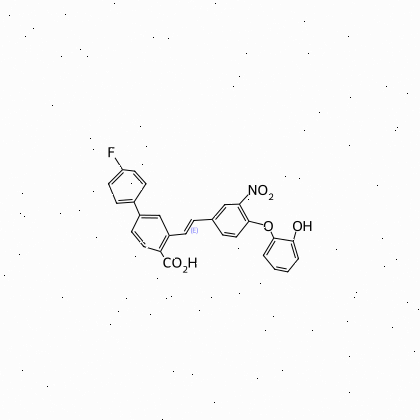 O=C(O)c1ccc(-c2ccc(F)cc2)cc1/C=C/c1ccc(Oc2ccccc2O)c([N+](=O)[O-])c1